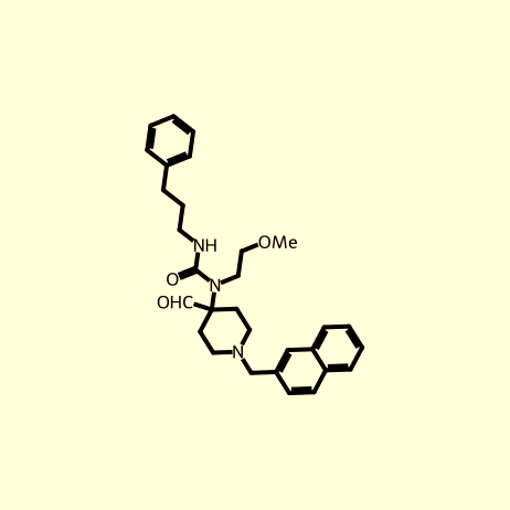 COCCN(C(=O)NCCCc1ccccc1)C1(C=O)CCN(Cc2ccc3ccccc3c2)CC1